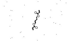 C=CC(=O)OC=CCCOC(=O)C=C